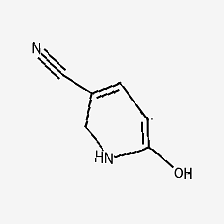 N#CC1=C[C]=C(O)NC1